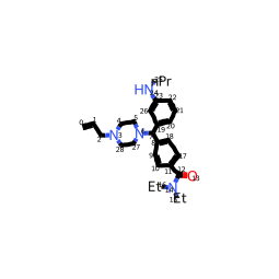 C=CCN1CCN(C(c2ccc(C(=O)N(CC)CC)cc2)c2cccc(NCCC)c2)CC1